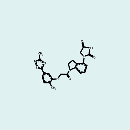 Cc1nsc(-c2ccc(C)c(NCC(=O)N3CCc4c3cccc4N3CC(=O)NC3=O)c2)n1